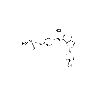 CN1CCN(c2ccc(Cl)c(C(=O)/C=C/c3ccc(/C=C/C(=O)NO)cc3)c2)CC1.Cl